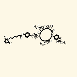 C=CC[C@H]1C(=O)C(C)(C)[C@@H](O)CC(=O)O[C@H](c2ccc3sc(C)nc3c2)C[C@H]2O[C@@]2(C)CCC[C@H](C)[C@@H]1OC(=O)OCc1ccc(OC(=O)CCCCCN2C(=O)C=CC2=O)cc1